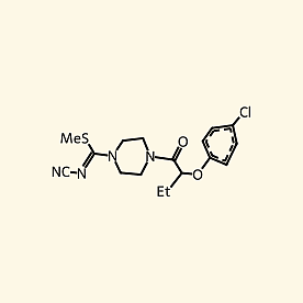 CCC(Oc1ccc(Cl)cc1)C(=O)N1CCN(/C(=N/C#N)SC)CC1